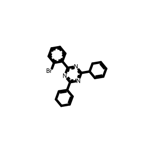 Brc1ccccc1-c1nc(C2=CCCC=C2)nc(C2C=CC=CC2)n1